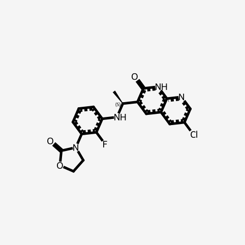 C[C@H](Nc1cccc(N2CCOC2=O)c1F)c1cc2cc(Cl)cnc2[nH]c1=O